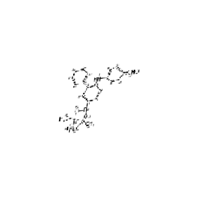 CC1(C)OB(c2ccc(Nc3ccc(C=O)cc3)c(-c3ccccc3)c2)OC1(C)C